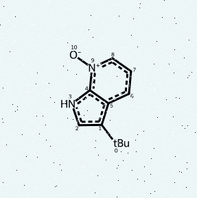 CC(C)(C)c1c[nH]c2c1ccc[n+]2[O-]